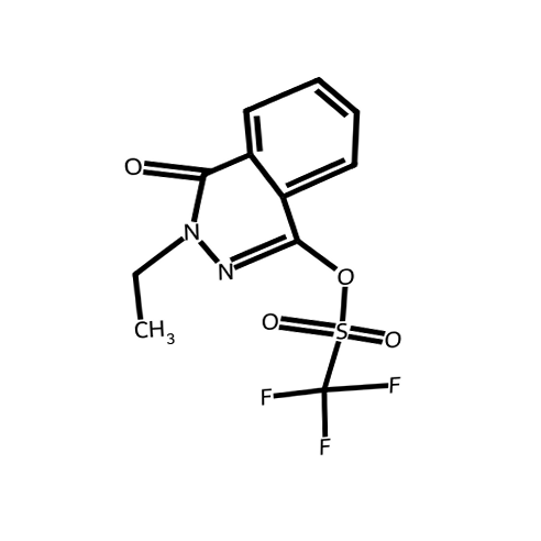 CCn1nc(OS(=O)(=O)C(F)(F)F)c2ccccc2c1=O